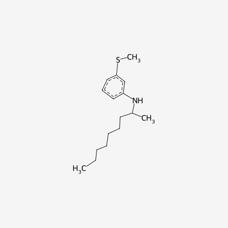 CCCCCCCC(C)Nc1cccc(SC)c1